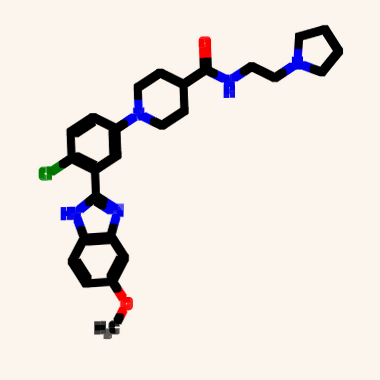 COc1ccc2[nH]c(-c3cc(N4CCC(C(=O)NCCN5CCCC5)CC4)ccc3Cl)nc2c1